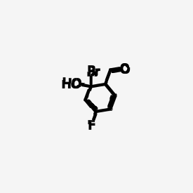 O=CC1C=CC(F)=CC1(O)Br